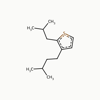 CC(C)CCc1ccsc1CC(C)C